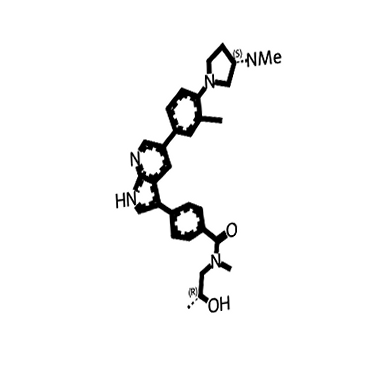 CN[C@H]1CCN(c2ccc(-c3cnc4[nH]cc(-c5ccc(C(=O)N(C)C[C@@H](C)O)cc5)c4c3)cc2C)C1